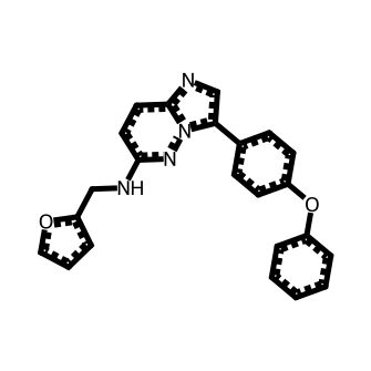 c1ccc(Oc2ccc(-c3cnc4ccc(NCc5ccco5)nn34)cc2)cc1